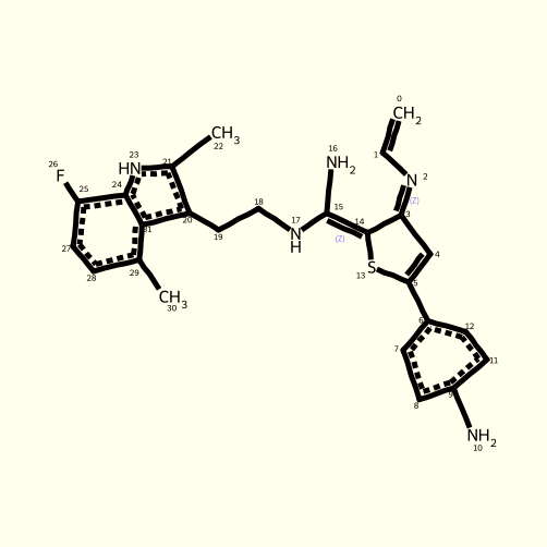 C=C/N=C1/C=C(c2ccc(N)cc2)S/C1=C(/N)NCCc1c(C)[nH]c2c(F)ccc(C)c12